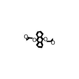 c1ccc2c(OCC3CO3)c3ccccc3c(OCC3CO3)c2c1